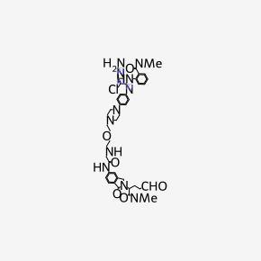 CNC(=O)c1ccccc1NC(=N/c1ccc(N2CCN(CCOCCNCC(=O)Nc3ccc4c(c3)CN(C(CCC=O)C(=O)NC)C4=O)CC2)cc1)/C(Cl)=C\N=C\N